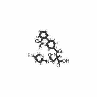 CC(CC(=O)Nc1ccc(Br)cn1)(NC(=O)c1ccc(-c2ccccc2S(C)(=O)=O)cc1)C(=O)O